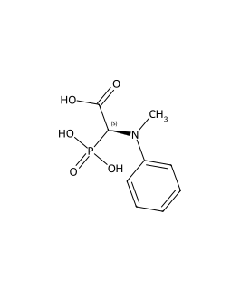 CN(c1ccccc1)[C@H](C(=O)O)P(=O)(O)O